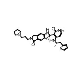 C[C@@H](Cc1cccs1)Nc1cc[nH]c(=O)c1-c1nc2cc3c(cc2[nH]1)CN(CCCN1CCCC1)C3=O